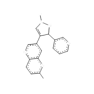 CCN1C=C(c2cnc3ccc(Cl)nc3c2)C(c2cccnc2)N1